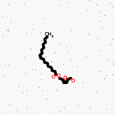 CCCCCCCC/C=C\CCCCCCCC(=O)OCc1ccc(C=O)o1